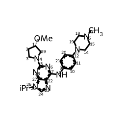 CO[C@H]1CCN(c2nc(Nc3ccc(N4CCN(C)CC4)cc3)c3ncn(C(C)C)c3n2)C1